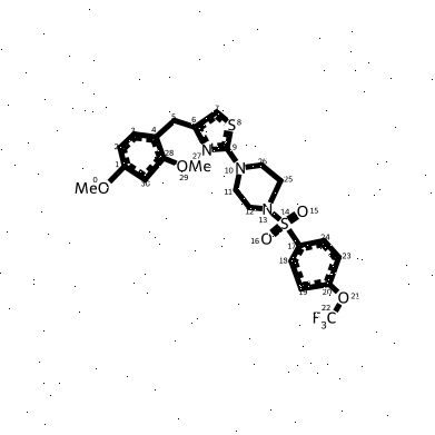 COc1ccc(Cc2csc(N3CCN(S(=O)(=O)c4ccc(OC(F)(F)F)cc4)CC3)n2)c(OC)c1